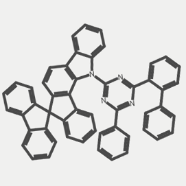 c1ccc(-c2nc(-c3ccccc3-c3ccccc3)nc(-n3c4ccccc4c4ccc5c(c43)-c3ccccc3C53c4ccccc4-c4ccccc43)n2)cc1